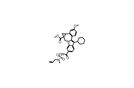 C=CCN(C)S(=O)(=O)NC(=O)c1ccc2c(C3CCCCC3)c3n(c2c1)CC1(C(=O)OC)CC1c1cc(OC)ccc1-3